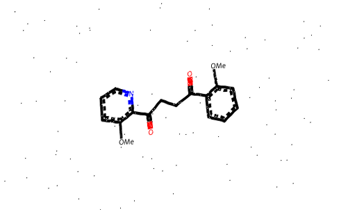 COc1ccccc1C(=O)CCC(=O)c1ncccc1OC